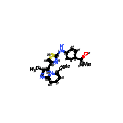 CNC(=O)c1ccc(Nc2nc(-c3c(C)nc4cccc(OC)n34)cs2)cc1